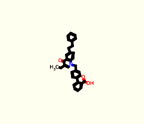 CCc1cn(Cc2ccc(-c3ccccc3C(=O)O)cc2)c2ccc(CCc3ccccc3)cc2c1=O